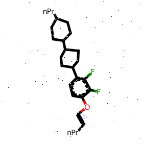 CCC/C=C/Oc1ccc(C2CCC(C3CCC(CCC)CC3)CC2)c(F)c1F